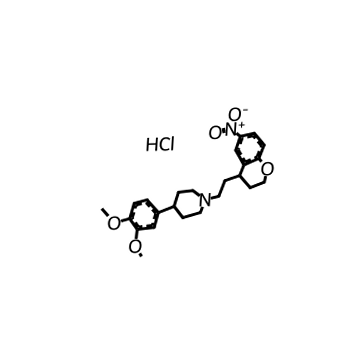 COc1ccc(C2CCN(CCC3CCOc4ccc([N+](=O)[O-])cc43)CC2)cc1OC.Cl